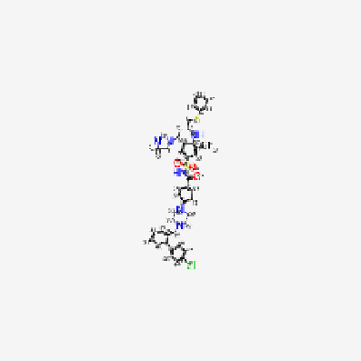 CC1(C)CN(CC[C@H](CSc2ccccc2)Nc2ccc(S(=O)(=O)NC(=O)c3ccc(N4CCN(Cc5ccccc5-c5ccc(Cl)cc5)CC4)cc3)cc2C(F)(F)F)C=N1